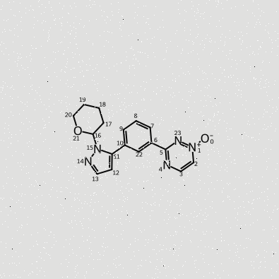 [O-][n+]1ccnc(-c2cccc(-c3ccnn3C3CCCCO3)c2)n1